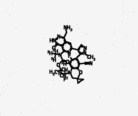 [2H]c1c(F)c(-c2c(-c3cc4c(CN)n[nH]c(=O)c4c(N(C(=O)OC(C)(C)C)C([2H])([2H])[2H])n3)cnn2C)c(C#N)c2c1N(C(F)(F)F)CC1(CC1)O2